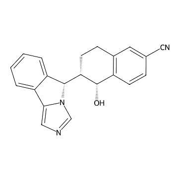 N#Cc1ccc2c(c1)CC[C@@H]([C@H]1c3ccccc3-c3cncn31)[C@H]2O